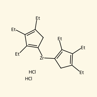 CCC1=C(CC)C(CC)=[C]([Zr][C]2=C(CC)C(CC)=C(CC)C2)C1.Cl.Cl